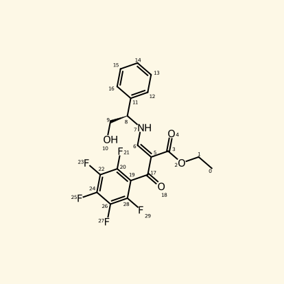 CCOC(=O)/C(=C\N[C@@H](CO)c1ccccc1)C(=O)c1c(F)c(F)c(F)c(F)c1F